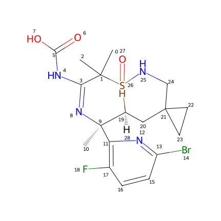 CC1(C)C(NC(=O)O)=N[C@](C)(c2nc(Br)ccc2F)[C@@H]2CC3(CC3)CN[SH]21=O